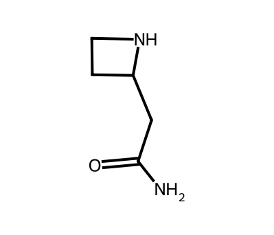 NC(=O)CC1CCN1